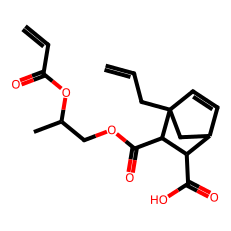 C=CCC12C=CC(C1)C(C(=O)O)C2C(=O)OCC(C)OC(=O)C=C